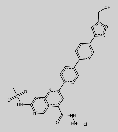 CS(=O)(=O)Nc1cc2nc(-c3ccc(-c4ccc(-c5cc(CO)on5)cc4)cc3)cc(C(=O)NNCl)c2cn1